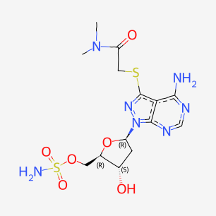 CN(C)C(=O)CSc1nn([C@H]2C[C@H](O)[C@@H](COS(N)(=O)=O)O2)c2ncnc(N)c12